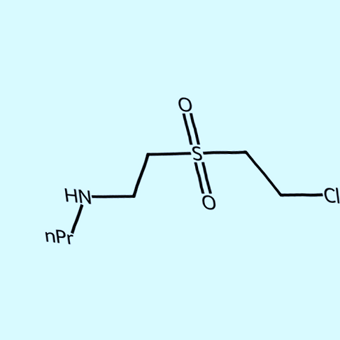 CCCNCCS(=O)(=O)CCCl